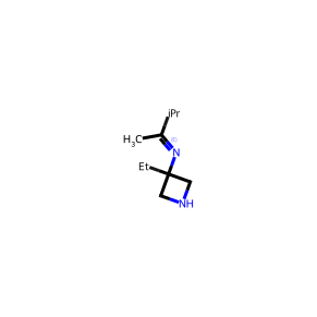 CCC1(/N=C(\C)C(C)C)CNC1